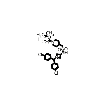 CC(C)(C)OC(=O)N1CCC(CS(=O)(=O)NC2CN(C(c3ccc(Cl)cc3)c3ccc(Cl)cc3)C2)CC1